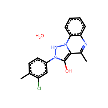 CC1=Nc2ccccc2N2NN(c3ccc(C)c(Cl)c3)C(O)=C12.O